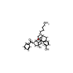 NCCCCN1CCC23c4cc(O)ccc4CC1C21CCC2C3[C@@H](CN2C(=O)c2ccccc2)C1